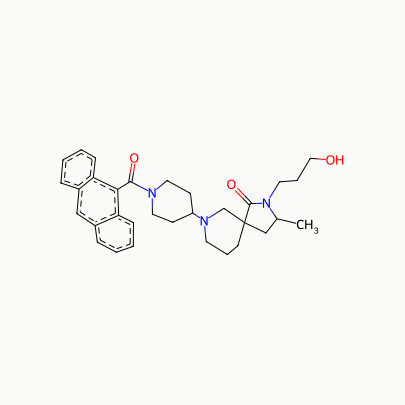 CC1CC2(CCCN(C3CCN(C(=O)c4c5ccccc5cc5ccccc45)CC3)C2)C(=O)N1CCCO